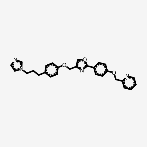 c1ccc(COc2ccc(-c3nc(COc4ccc(CCCn5ccnc5)cc4)co3)cc2)nc1